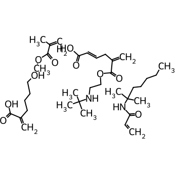 C=C(C)C(=O)OC.C=C(CC=CC(=O)O)C(=O)OCCNC(C)(C)C.C=C(CCCCO)C(=O)O.C=CC(=O)NC(C)(C)CCCCC